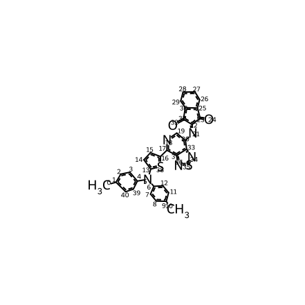 Cc1ccc(N(c2ccc(C)cc2)c2ccc(-c3ncc(N=c4c(=O)c5ccccc5c4=O)c4nsnc34)s2)cc1